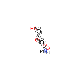 CCN(CC)C(=O)COc1ccc(C(=O)C=Cc2cccc(O)c2)cc1